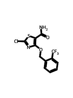 NC(=O)c1sc(Cl)nc1OCc1ccccc1C(F)(F)F